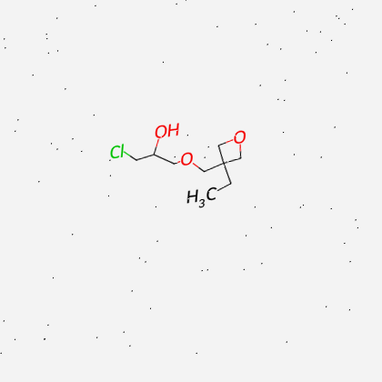 CCC1(COCC(O)CCl)COC1